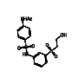 CC(=O)Nc1ccc(S(=O)(=O)Nc2cccc(S(=O)(=O)CCO)c2)cc1